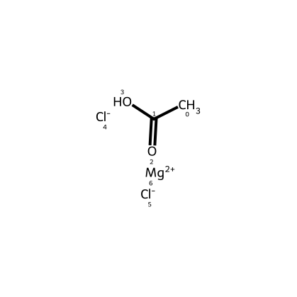 CC(=O)O.[Cl-].[Cl-].[Mg+2]